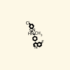 CC(Nc1nc2ccc(Cl)cc2s1)[C@H]1CC[C@@H](c2ccnc3ccc(F)cc32)CC1